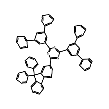 c1cccc(-c2cc(-c3ccccc3)cc(-c3nc(-c4cc(-c5ccccc5)cc(-c5ccccc5)c4)nc(-c4ccc5c(c4)C(c4ccccc4)(c4ccccc4)c4ccccc4-5)n3)c2)c#1